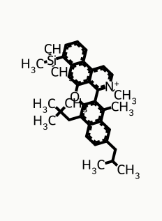 Cc1c2c(c(CC(C)(C)C)c3ccc(CC(C)C)cc13)Oc1cc3c([Si](C)(C)C)cccc3c3cc[n+](C)c-2c13